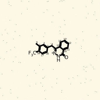 Cc1cc(Cc2n[nH]c(=O)c3ccccc23)ccc1C(F)(F)F